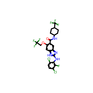 O=C(NC1CCC(C(F)(F)F)CC1)c1cc2nc(Nc3c(Cl)ccc(Cl)c3F)[nH]c2cc1OCC(F)(F)F